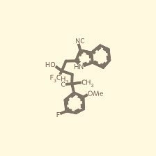 [C-]#[N+]c1c(CC(O)(CC(C)(C)c2cc(F)ccc2OC)C(F)(F)F)[nH]c2ccccc12